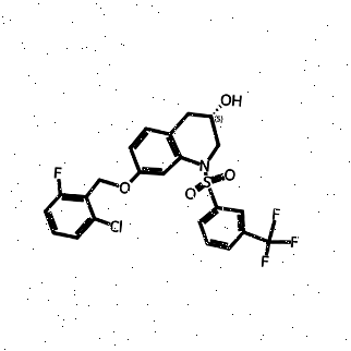 O=S(=O)(c1cccc(C(F)(F)F)c1)N1C[C@@H](O)Cc2ccc(OCc3c(F)cccc3Cl)cc21